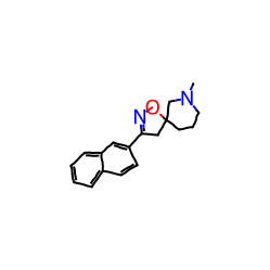 CN1CCCC2(CC(c3ccc4ccccc4c3)=NO2)C1